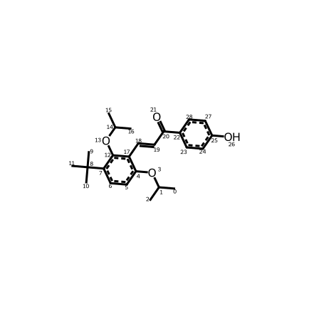 CC(C)Oc1ccc(C(C)(C)C)c(OC(C)C)c1C=CC(=O)c1ccc(O)cc1